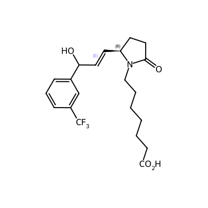 O=C(O)CCCCCCN1C(=O)CC[C@@H]1/C=C/C(O)c1cccc(C(F)(F)F)c1